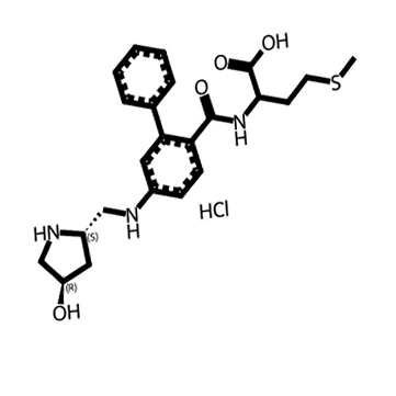 CSCCC(NC(=O)c1ccc(NC[C@@H]2C[C@@H](O)CN2)cc1-c1ccccc1)C(=O)O.Cl